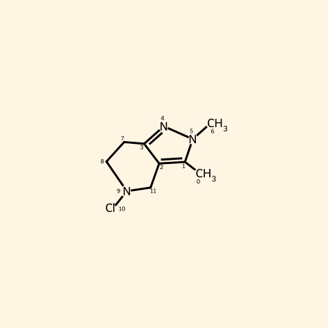 Cc1c2c(nn1C)CCN(Cl)C2